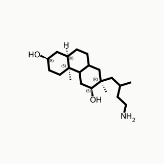 CC(CCN)C[C@]1(C)CC2CC[C@@H]3C[C@H](O)CC[C@]3(C)C2C[C@@H]1O